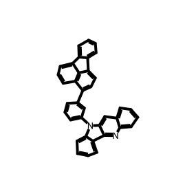 c1cc(-c2ccc3c4c(cccc24)-c2ccccc2-3)cc(-n2c3ccccc3c3nc4ccccc4cc32)c1